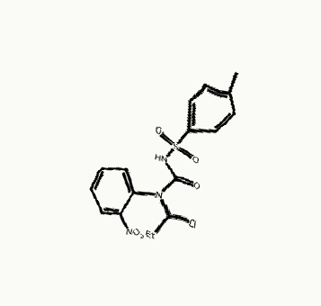 CCC(Cl)N(C(=O)NS(=O)(=O)c1ccc(C)cc1)c1ccccc1[N+](=O)[O-]